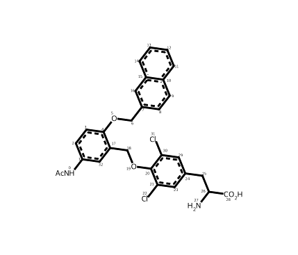 CC(=O)Nc1ccc(OCc2ccc3ccccc3c2)c(COc2c(Cl)cc(CC(N)C(=O)O)cc2Cl)c1